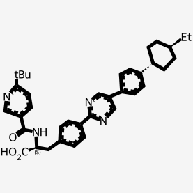 CC[C@H]1CC[C@H](c2ccc(-c3cnc(-c4ccc(C[C@H](NC(=O)c5ccc(C(C)(C)C)nc5)C(=O)O)cc4)nc3)cc2)CC1